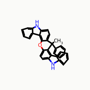 CC1(c2ccccc2)c2ccc3[nH]c4ccccc4c3c2Oc2ccc3[nH]c4ccccc4c3c21